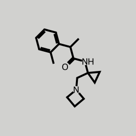 Cc1ccccc1C(C)C(=O)NC1(CN2CCC2)CC1